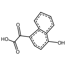 O=C(O)C(=O)c1ccc(O)c2ccccc12